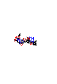 C=CCOC(=O)NC(CC1COC(CN(C)C(=O)Cc2ccc(NC(=O)Nc3ccccc3C)c(OC)c2)=N1)C(=O)O